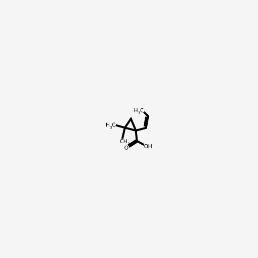 C/C=C\C1(C(=O)O)CC1(C)C